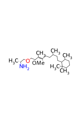 CO/C(CCC(C)CCC1C(C)CCCC1(C)C)=C(/C)CCOC[C@@H](C)N